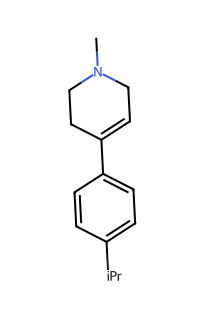 CC(C)c1ccc(C2=CCN(C)CC2)cc1